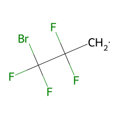 [CH2]C(F)(F)C(F)(F)Br